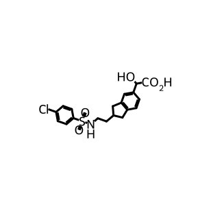 O=C(O)C(O)c1ccc2c(c1)CC(CCNS(=O)(=O)c1ccc(Cl)cc1)C2